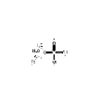 O.O.O=P(O)(O)O.[AlH3].[Fe]